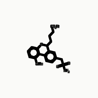 CCOC(=O)CCCC1Oc2cccc(OC)c2-c2ccc(CS(N)(=O)=O)cc21